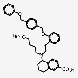 O=C(O)CCCCN(CCc1ccccc1OCc1ccc(COc2ccccc2)cc1)C1CCCc2cc(C(=O)O)ccc21